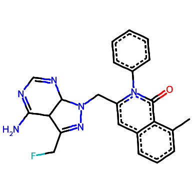 Cc1cccc2cc(CN3N=C(CF)C4C(N)=NC=NC43)n(-c3ccccc3)c(=O)c12